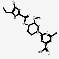 CCc1[nH]c(C(=O)N[C@@H]2CCN(c3cc(C(=O)O)cc(C)n3)C[C@@H]2OC)nc1Cl